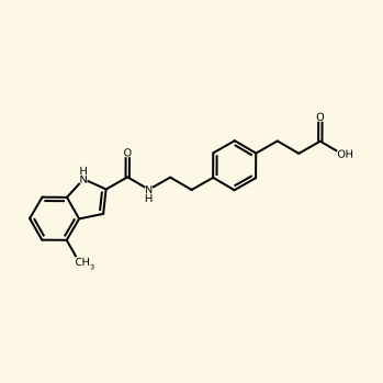 Cc1cccc2[nH]c(C(=O)NCCc3ccc(CCC(=O)O)cc3)cc12